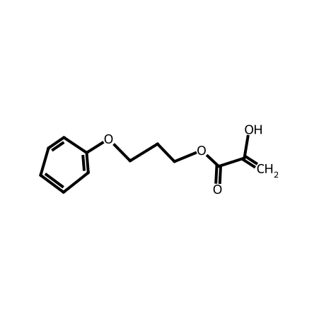 C=C(O)C(=O)OCCCOc1ccccc1